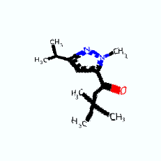 CC(C)c1cc(C(=O)C(C)(C)C)n(C)n1